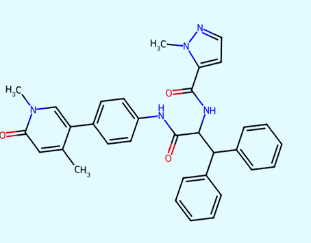 Cc1cc(=O)n(C)cc1-c1ccc(NC(=O)C(NC(=O)c2ccnn2C)C(c2ccccc2)c2ccccc2)cc1